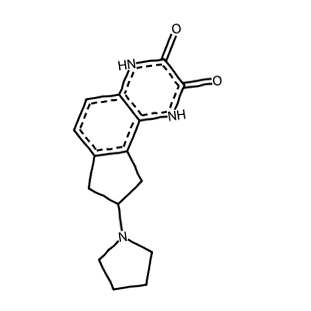 O=c1[nH]c2ccc3c(c2[nH]c1=O)CC(N1CCCC1)C3